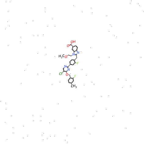 COCCn1c(Cc2ccc(-c3ncc(Cl)c(OCc4ccc(C)cc4F)n3)cc2F)nc2ccc(C(=O)O)cc21